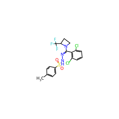 Cc1ccc(S(=O)(=O)N/N=C(\c2c(Cl)cccc2Cl)N2CCC2C(F)(F)F)cc1